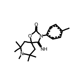 Cc1ccc(N2C(=N)C3(CC(C)(C)N(C)C(C)(C)C3)OC2=O)cc1